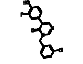 O=c1c(-c2ccc(O)c(F)c2)cncn1Cc1cccc(Cl)c1